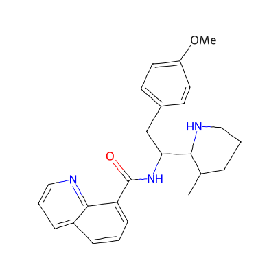 COc1ccc(CC(NC(=O)c2cccc3cccnc23)C2NCCCC2C)cc1